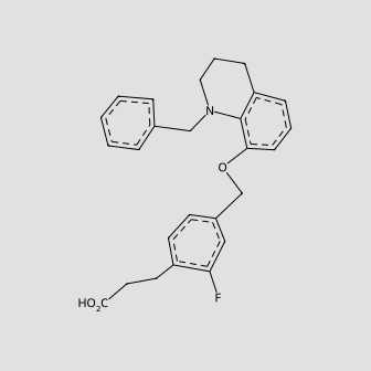 O=C(O)CCc1ccc(COc2cccc3c2N(Cc2ccccc2)CCC3)cc1F